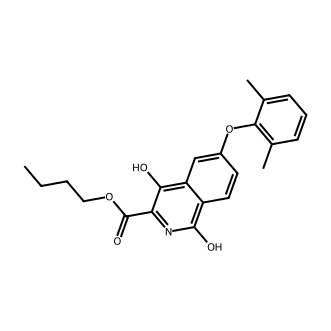 CCCCOC(=O)c1nc(O)c2ccc(Oc3c(C)cccc3C)cc2c1O